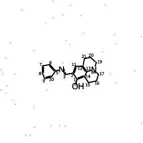 Oc1c(/C=N/c2ccccc2)cc2c3c1CCCN3CCC2